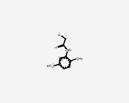 COc1ccc(S(=O)(=O)O)cc1NC(=O)CC(C)=O